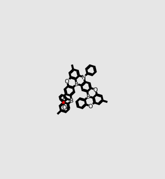 Cc1cc2c3c(c1)Oc1cc4c(cc1B3c1ccccc1O2)B1c2cc3c(cc2N(c2ccccc2)c2cc(C)cc(c21)O4)Oc1cc(C)cc2c1B3c1ccccc1O2